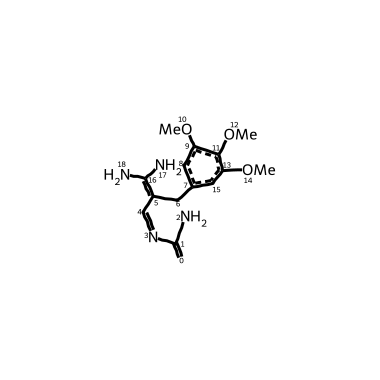 C=C(N)/N=C\C(Cc1cc(OC)c(OC)c(OC)c1)=C(N)N